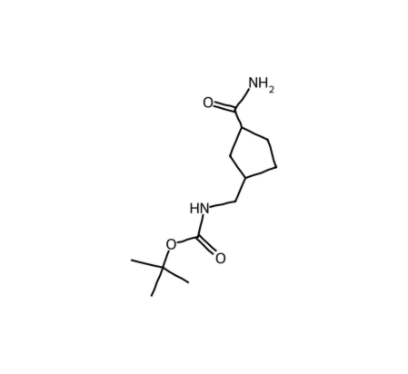 CC(C)(C)OC(=O)NCC1CCC(C(N)=O)C1